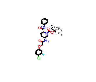 CC(C)(C)OC(=O)N1C[C@@H](NC(=O)COc2ccc(Cl)c(F)c2)CC[C@@H]1C(=O)Nc1ccccc1